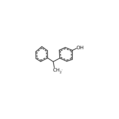 [CH2]C(c1ccccc1)c1ccc(O)cc1